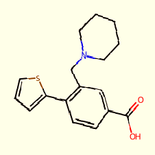 O=C(O)c1ccc(-c2cccs2)c(CN2CCCCC2)c1